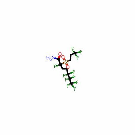 NC(=O)C(F)(CCC(F)(F)C(F)(F)C(F)(F)F)S(=O)(=O)CCC(F)(F)F